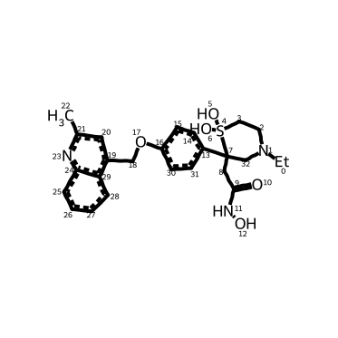 CCN1CCS(O)(O)C(CC(=O)NO)(c2ccc(OCc3cc(C)nc4ccccc34)cc2)C1